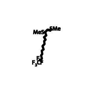 CSC=CC(CCCCCCCCCCCC(F)(F)C(F)(F)F)SC